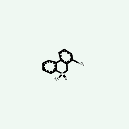 CP1(=O)Cc2c(cccc2[N+](=O)[O-])-c2ccccc21